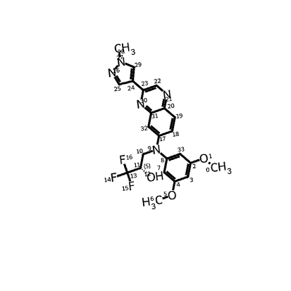 COc1cc(OC)cc(N(C[C@H](O)C(F)(F)F)c2ccc3ncc(-c4cnn(C)c4)nc3c2)c1